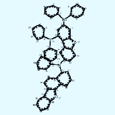 c1ccc(N(c2ccccc2)c2cc(N(c3ccccc3)c3ccccc3)c3c(c2)oc2ccc(N(c4ccccc4)c4cccc5c4ccc4c6ccccc6oc54)cc23)cc1